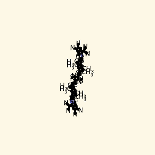 CC1(C)c2cc3c(cc2-c2sc(/C=C4\C(=O)c5cc(C#N)c(C#N)cc5C4=C(C#N)C#N)cc21)C(C)(C)c1cc(-c2c4c(c(-c5cc6c(s5)-c5cc7c(cc5C6(C)C)-c5sc(/C=C6\C(=O)c8cc(C#N)c(C#N)cc8C6=C(C#N)C#N)cc5C7(C)C)c5nsnc25)N=S=N4)sc1-3